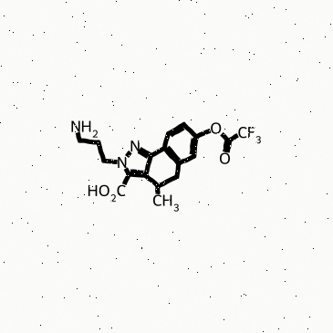 CC1Cc2cc(OC(=O)C(F)(F)F)ccc2-c2nn(CCCN)c(C(=O)O)c21